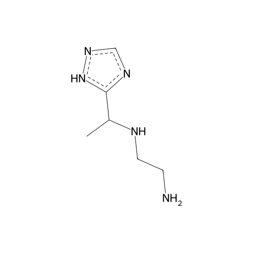 CC(NCCN)c1ncn[nH]1